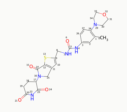 Cc1cc(NC(=O)NCc2cc3c(s2)C(=O)N(C2CCC(=O)NC2=O)C3)ccc1N1CCOCC1